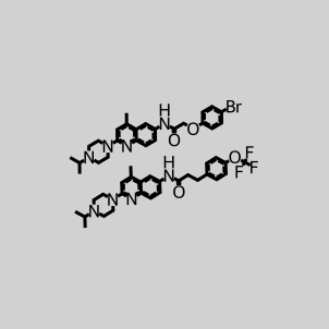 Cc1cc(N2CCN(C(C)C)CC2)nc2ccc(NC(=O)CCc3ccc(OC(F)(F)F)cc3)cc12.Cc1cc(N2CCN(C(C)C)CC2)nc2ccc(NC(=O)COc3ccc(Br)cc3)cc12